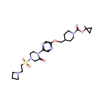 CC1(OC(=O)N2CCC(COc3cnc(N4CCN(S(=O)(=O)CCN5CCC5)CC4=O)cn3)CC2)CC1